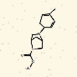 CC(C)(C)OC(=O)N1CC2CC1CN2C1C=CC(I)=CC1